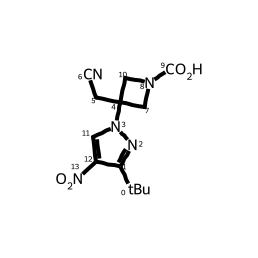 CC(C)(C)c1nn(C2(CC#N)CN(C(=O)O)C2)cc1[N+](=O)[O-]